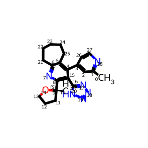 Cc1cc(-c2c3c(nc([C@]4(C)CCCO4)c2-c2nnn[nH]2)CCCCC3)ccn1